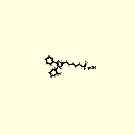 O=C(CCCCCCc1nc(-c2ccccc2)c(-c2ccccc2F)o1)NO